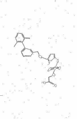 Cc1cccc(C)c1-c1cccc(COc2ccc(OS(=O)(=O)OCC(=O)O)s2)c1